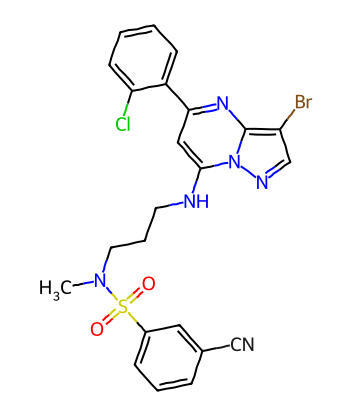 CN(CCCNc1cc(-c2ccccc2Cl)nc2c(Br)cnn12)S(=O)(=O)c1cccc(C#N)c1